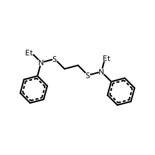 CCN(SCCSN(CC)c1ccccc1)c1ccccc1